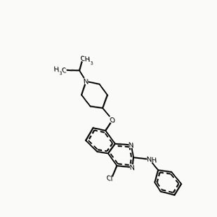 CC(C)N1CCC(Oc2cccc3c(Cl)nc(Nc4ccccc4)nc23)CC1